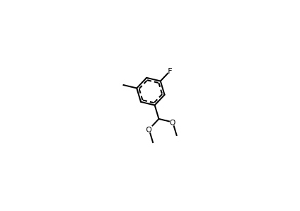 COC(OC)c1cc(C)cc(F)c1